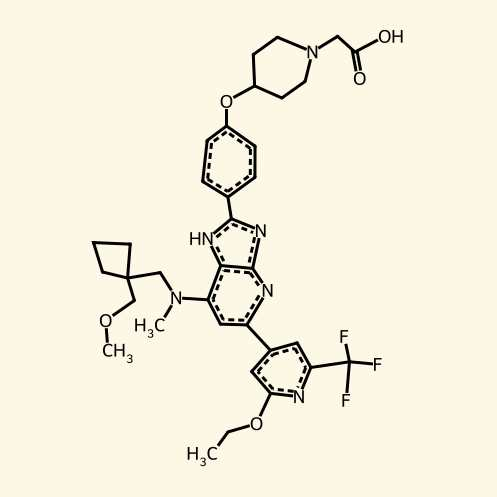 CCOc1cc(-c2cc(N(C)CC3(COC)CCC3)c3[nH]c(-c4ccc(OC5CCN(CC(=O)O)CC5)cc4)nc3n2)cc(C(F)(F)F)n1